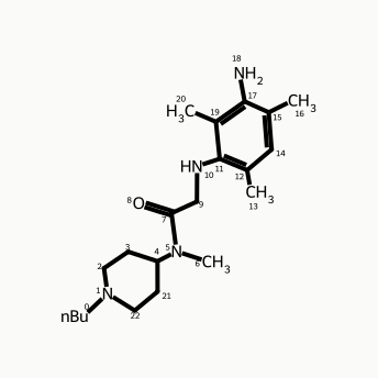 CCCCN1CCC(N(C)C(=O)CNc2c(C)cc(C)c(N)c2C)CC1